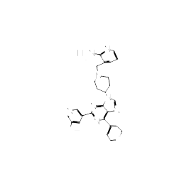 Nc1ncccc1CN1CCC(n2cnc3c(C4=CCOCC4)nc(-c4cncc(O)c4)nc32)CC1